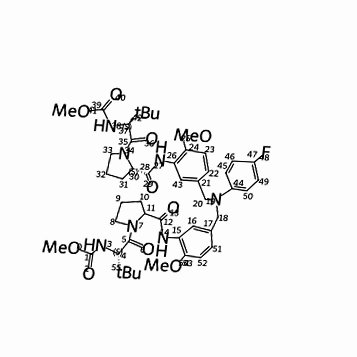 COC(=O)N[C@H](C(=O)N1CCCC1C(=O)Nc1cc(CN(Cc2ccc(OC)c(NC(=O)[C@@H]3CCCN3C(=O)[C@@H](NC(=O)OC)C(C)(C)C)c2)c2ccc(F)cc2)ccc1OC)C(C)(C)C